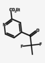 CCOC(=O)c1cc(C(=O)C(C)(F)F)ccn1